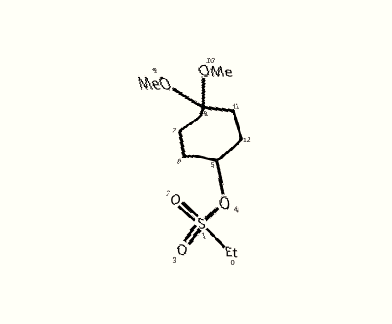 CCS(=O)(=O)OC1CCC(OC)(OC)CC1